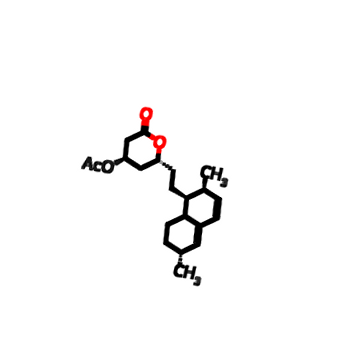 CC(=O)O[C@H]1CC(=O)O[C@H](CC[C@@H]2C3CC[C@@H](C)C=C3C=C[C@@H]2C)C1